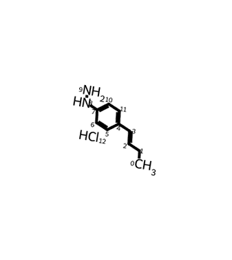 CCC=Cc1ccc(NN)cc1.Cl